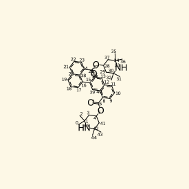 CC1(C)CC(OC(=O)c2cccc3ccc(-c4cccc5cccc(C(=O)OC6CC(C)(C)NC(C)(C)C6)c45)cc23)CC(C)(C)N1